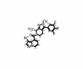 C[C@H]1c2nn(C)c(-c3cc(F)c(F)c(F)c3)c2CCN1C(=O)c1cccn2ncc(Br)c12